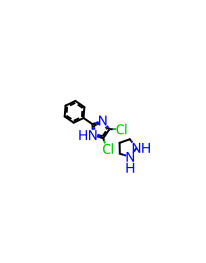 C1CNNC1.Clc1nc(-c2ccccc2)[nH]c1Cl